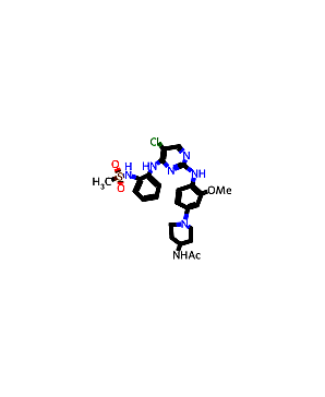 COc1cc(N2CCC(NC(C)=O)CC2)ccc1Nc1ncc(Cl)c(Nc2ccccc2NS(C)(=O)=O)n1